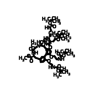 COC(=O)[C@@H]1Cc2ccc(OCCNC(=O)OC(C)(C)C)c(c2)-c2cc(ccc2OCCNC(=O)OC(C)(C)C)[C@H](N(C)C(=O)[C@H](CCO[Si](C)(C)C(C)(C)C)NCCCNC(=O)OC(C)(C)C)C(=O)N[C@@H](C)C(=O)N1